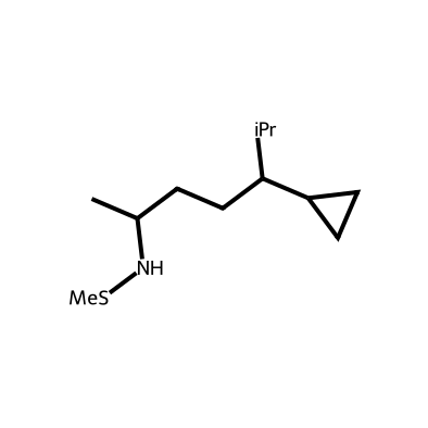 CSNC(C)CCC(C(C)C)C1CC1